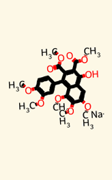 COC(=O)c1c(C(=O)OC)c(-c2ccc(OC)c(OC)c2)c2c(OC)c(OC)c(OC)cc2c1O.[Na]